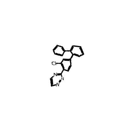 Clc1cc(-c2ccccc2-c2ccccc2)ccc1-c1nccnn1